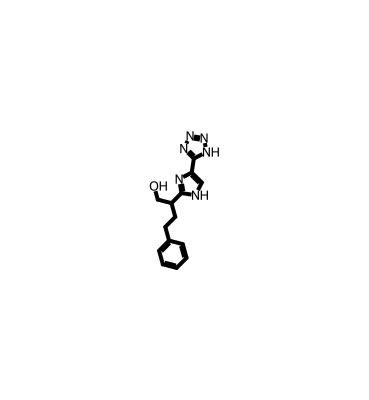 OCC(CCc1ccccc1)c1nc(-c2nnn[nH]2)c[nH]1